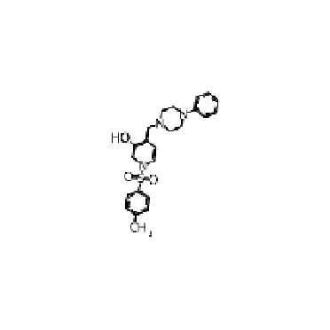 Cc1ccc(S(=O)(=O)N2C=CC(CN3CCN(c4ccccc4)CC3)=C(O)C2)cc1